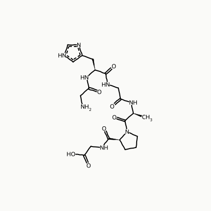 C[C@H](NC(=O)CNC(=O)[C@H](Cc1c[nH]cn1)NC(=O)CN)C(=O)N1CCC[C@H]1C(=O)NCC(=O)O